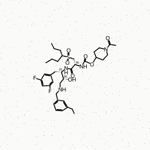 CCCC(CCC)S(=O)(=O)C[C@H](NC(=O)OC1CCN(C(C)=O)CC1)C(=O)N[C@@H](Cc1cc(F)cc(F)c1)[C@H](O)CNCc1cccc(CC)c1